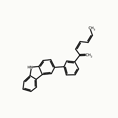 C=C(/C=C\C=C/C)c1cccc(-c2ccc3[nH]c4ccccc4c3c2)c1